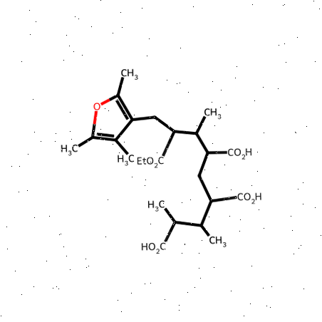 CCOC(=O)C(Cc1c(C)oc(C)c1C)C(C)C(CC(C(=O)O)C(C)C(C)C(=O)O)C(=O)O